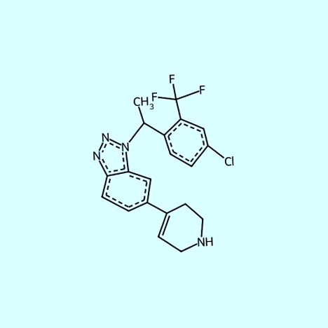 CC(c1ccc(Cl)cc1C(F)(F)F)n1nnc2ccc(C3=CCNCC3)cc21